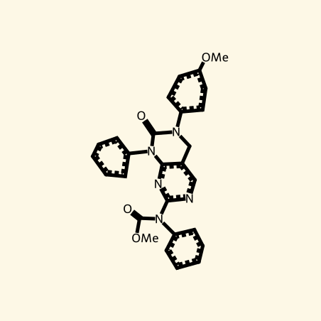 [CH2]OC(=O)N(c1ccccc1)c1ncc2c(n1)N(c1ccccc1)C(=O)N(c1ccc(OC)cc1)C2